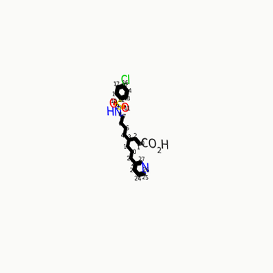 O=C(O)/C=C/C(CCCCNS(=O)(=O)c1ccc(Cl)cc1)CCCc1cccnc1